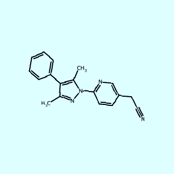 Cc1nn(-c2ccc(CC#N)cn2)c(C)c1-c1ccccc1